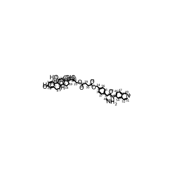 C[C@]12C=CC(=O)C=C1CC[C@@H]1[C@@H]2[C@@H](O)C[C@@]2(C)[C@H]1CC[C@]2(O)C1OC1COC(=O)CCC(=O)OCc1ccc([C@@H](CN)C(=O)Nc2ccc3cnccc3c2)cc1